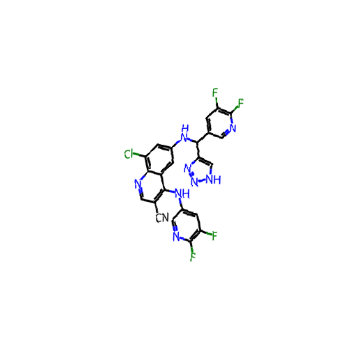 N#Cc1cnc2c(Cl)cc(NC(c3cnc(F)c(F)c3)c3c[nH]nn3)cc2c1Nc1cnc(F)c(F)c1